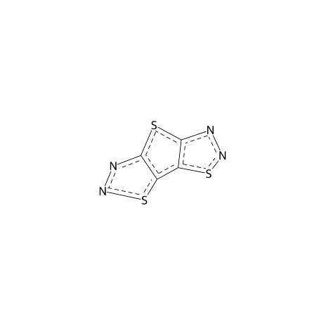 n1nc2sc3nnsc3c2s1